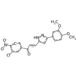 COc1ccc(-c2cc(/C=C/C(=O)c3ccc([N+](=O)[O-])c(Cl)c3)[nH]n2)cc1OC